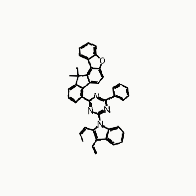 C=Cc1c(/C=C\C)n(-c2nc(-c3ccccc3)nc(-c3cccc4c3-c3ccc5oc6ccccc6c5c3C4(C)C)n2)c2ccccc12